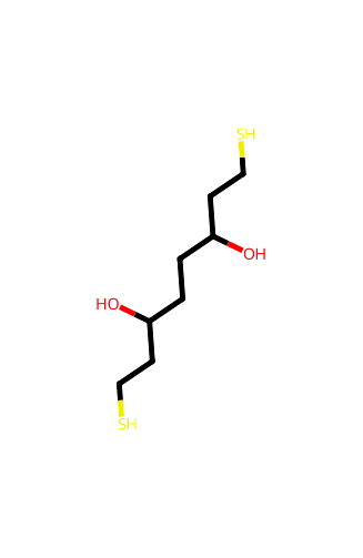 OC(CCS)CCC(O)CCS